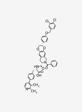 Cc1nccc(-c2ccc(C[C@H](NC(=O)[C@@H]3Cc4cc5c(cc4CN3C(=O)c3ccccc3)O[C@@H](c3ccc(OCc4ccc(Cl)c(Cl)c4)cc3)CO5)C(=O)O)cc2)c1C